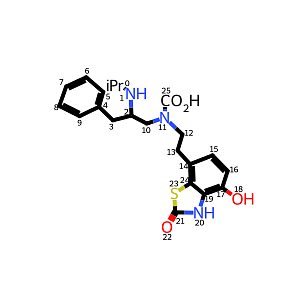 CC(C)NC(Cc1ccccc1)CN(CCc1ccc(O)c2[nH]c(=O)sc12)C(=O)O